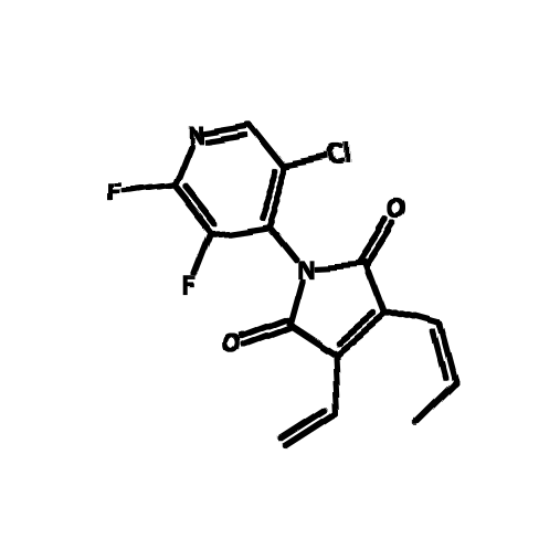 C=CC1=C(/C=C\C)C(=O)N(c2c(Cl)cnc(F)c2F)C1=O